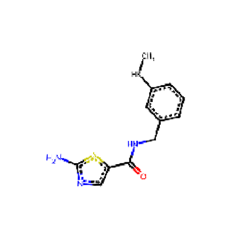 CBc1cccc(CNC(=O)c2cnc(N)s2)c1